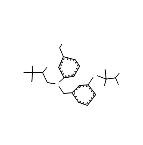 OC(CN(Cc1cccc(OC(F)(F)C(F)F)c1)c1cccc(CBr)c1)C(F)(F)F